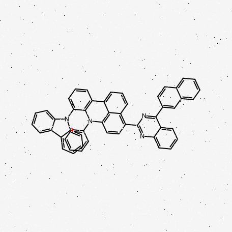 c1ccc(N2c3c(cccc3-n3c4ccccc4c4ccccc43)-c3cccc4c(-c5nc(-c6ccc7ccccc7c6)c6ccccc6n5)ccc2c34)cc1